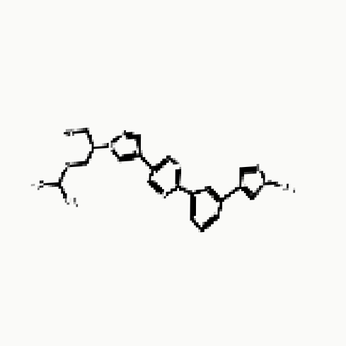 CC(C)OCC(CO)n1cc(-c2cnc(-c3cccc(-c4cnn(C)c4)c3)nc2)cn1